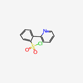 O=S(=O)(Cl)c1ccccc1-c1ccccn1